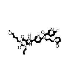 CCCn1c(=O)n(CCCCOC)c(=O)c2[nH]c(-c3ccc(N(CCCN4CCCC4=O)C(=O)c4ccc(F)nc4)nc3)nc21